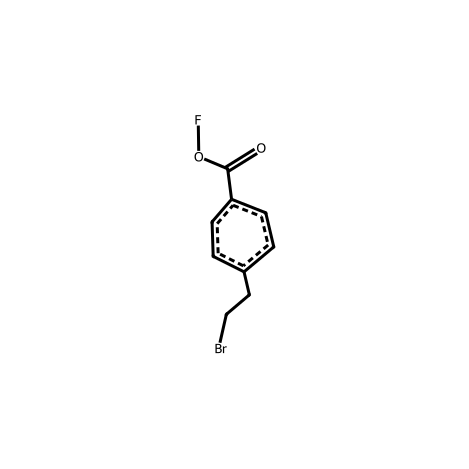 O=C(OF)c1ccc(CCBr)cc1